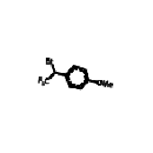 CCC(c1ccc(OC)cc1)C(F)(F)F